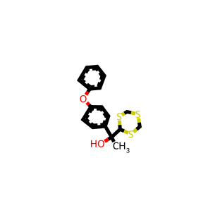 CC(O)(c1ccc(Oc2ccccc2)cc1)C1SCSCS1